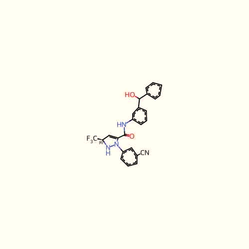 N#Cc1cccc(N2N[C@@H](C(F)(F)F)C=C2C(=O)Nc2cccc(C(O)c3ccccc3)c2)c1